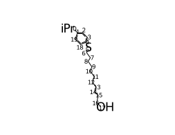 CC(C)c1ccc(SCCCCCCCCCCCO)cc1